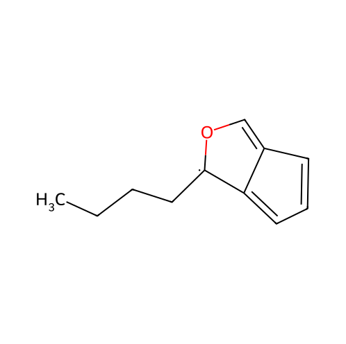 CCCC[C]1OC=C2C=CC=C12